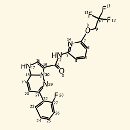 O=C(Nc1cccc(OCC(F)(F)F)n1)C1=CNC2C=CC(c3ccccc3F)=NN12